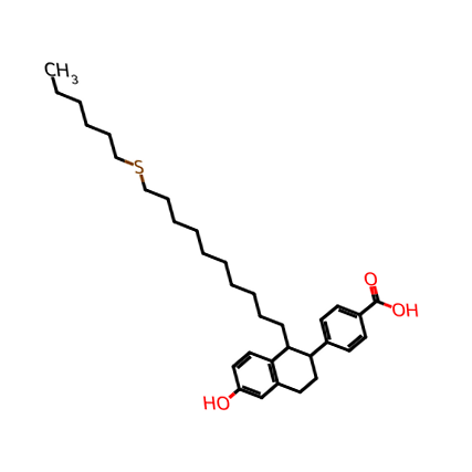 CCCCCCSCCCCCCCCCCC1c2ccc(O)cc2CCC1c1ccc(C(=O)O)cc1